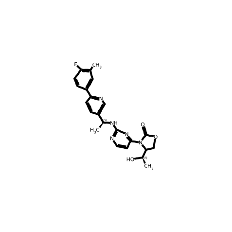 Cc1cc(-c2ccc([C@H](C)Nc3nccc(N4C(=O)OCC4[C@@H](C)O)n3)cn2)ccc1F